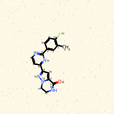 Cc1cc(-c2nccc(-c3cc4n(n3)CCNC4=O)n2)ccc1F